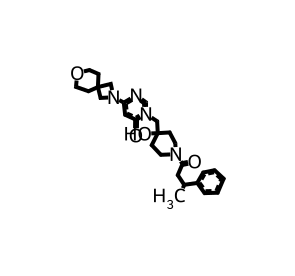 CC(CC(=O)N1CCC(O)(Cn2cnc(N3CC4(CCOCC4)C3)cc2=O)CC1)c1ccccc1